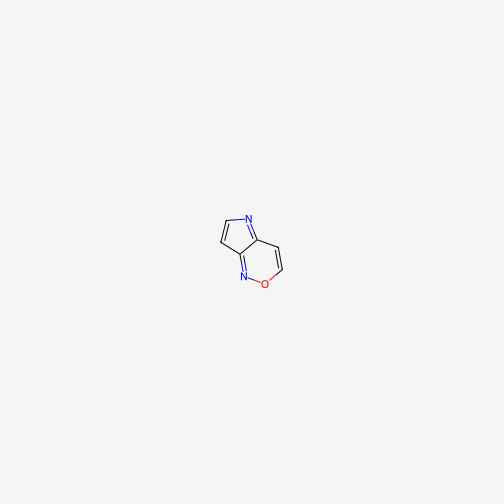 c1cc2noccc-2n1